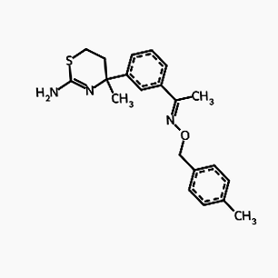 C/C(=N\OCc1ccc(C)cc1)c1cccc(C2(C)CCSC(N)=N2)c1